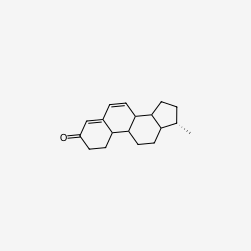 C[C@H]1CCC2C3C=CC4=CC(=O)CCC4C3CCC21